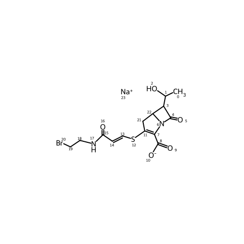 CC(O)C1C(=O)N2C(C(=O)[O-])=C(S/C=C/C(=O)NCCBr)CC12.[Na+]